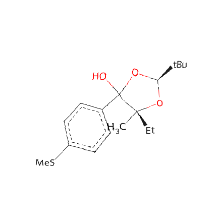 CC[C@]1(C)O[C@H](C(C)(C)C)OC1(O)c1ccc(SC)cc1